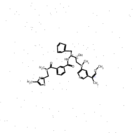 CO/C=C(/C)c1cncc(N(C)C[C@@H](O)[C@H](Cc2ccccc2)NC(=O)c2cccc(C(=O)N(C)Cc3nc(C)cs3)c2)c1